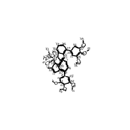 COc1cc(-c2cccc3c2C=C(C)[CH]3[Zr]([Cl])([Cl])([CH]2C(C)=Cc3c(-c4cc(OC)c(OC)c(OC)c4)cccc32)[SiH](C)C)cc(OC)c1OC